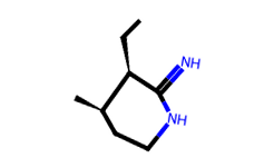 CC[C@H]1C(=N)NCC[C@H]1C